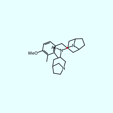 COc1ccc(CCN2C3CCC2CC(N(C(C)=O)C2CC4CCN(C4)C2)C3)c(C)c1C